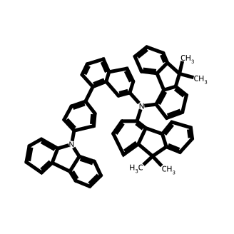 CC1(C)c2ccccc2-c2c(N(c3ccc4cccc(-c5ccc(-n6c7ccccc7c7ccccc76)cc5)c4c3)c3cccc4c3-c3ccccc3C4(C)C)cccc21